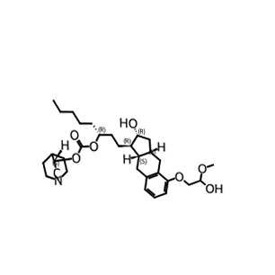 CCCCC[C@H](CC[C@@H]1[C@H]2Cc3cccc(OCC(O)OC)c3C[C@H]2C[C@H]1O)OC(=O)O[C@@H]1CN2CCC1CC2